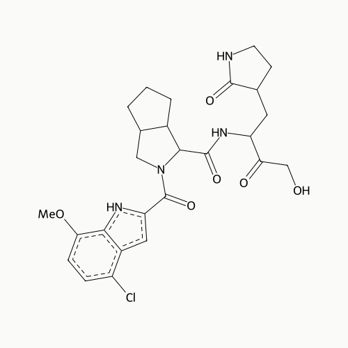 COc1ccc(Cl)c2cc(C(=O)N3CC4CCCC4C3C(=O)NC(CC3CCNC3=O)C(=O)CO)[nH]c12